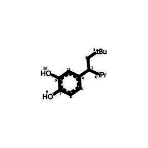 CC(C)C(CC(C)(C)C)c1ccc(O)c(O)c1